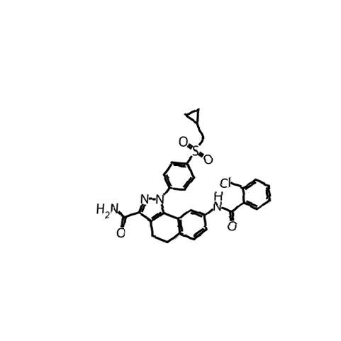 NC(=O)c1nn(-c2ccc(S(=O)(=O)CC3CC3)cc2)c2c1CCc1ccc(NC(=O)c3ccccc3Cl)cc1-2